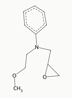 COCCN(CC1CO1)c1ccccc1